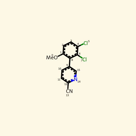 COc1ccc(Cl)c(Cl)c1-c1ccc(C#N)nc1